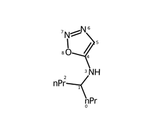 CCCC(CCC)Nc1[c]nno1